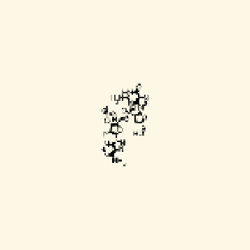 Nc1nc2c(ncn2[C@@H]2O[C@H](CO)C[C@H]2P(=O)(S)OC[C@H]2O[C@@H](n3nnc4c(N)ncnc43)[C@@H](F)[C@@H]2O[PH](=O)S)c(=O)[nH]1